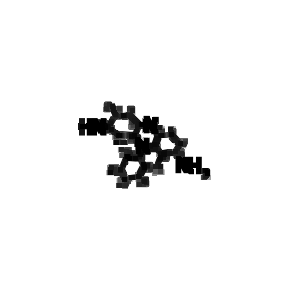 Cc1cc2nc3ccc(N)c(C)c3n(-c3ccccc3)c-2cc1=N